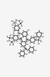 Cc1cc2c3c(c1)N(c1cc4c(cc1C)C(C)(C)CCC4(C)C)c1cc4c(cc1B3c1ccc(N(c3ccccc3)c3ccccc3)cc1N2c1ccc2c(c1)-c1ccccc1C2(C)C)C(C)(C)CC4(C)C